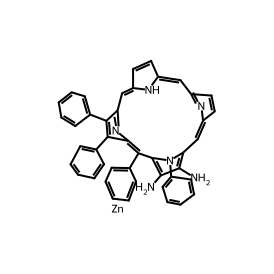 Nc1c(N)c2c(-c3ccccc3)c3nc(cc4ccc(cc5nc(cc1n2-c1ccccc1)C=C5)[nH]4)C(c1ccccc1)=C3c1ccccc1.[Zn]